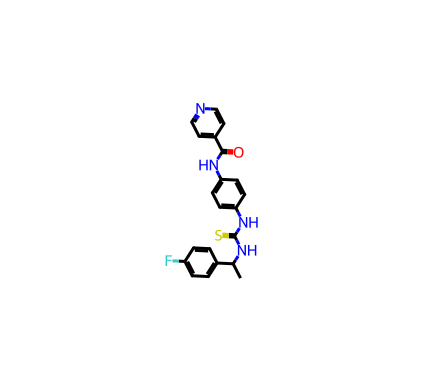 CC(NC(=S)Nc1ccc(NC(=O)c2ccncc2)cc1)c1ccc(F)cc1